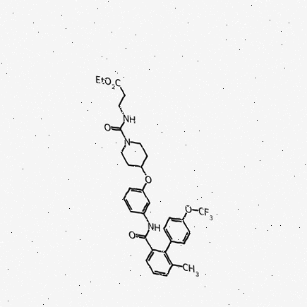 CCOC(=O)CCNC(=O)N1CCC(Oc2cccc(NC(=O)c3cccc(C)c3-c3ccc(OC(F)(F)F)cc3)c2)CC1